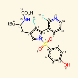 CC(C)(C)C(Cc1cn(S(=O)(=O)c2ccc(O)cc2)c(-c2cccnc2F)c1F)NC(=O)O